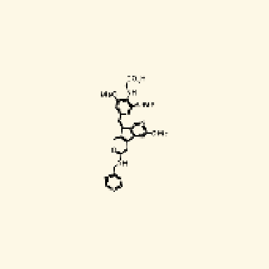 COc1cc2c(cn1)/C(=C\c1cc(OC)c(NCC(=O)O)c(OC)c1)C(C)=C2CC(=O)NCc1ccncc1